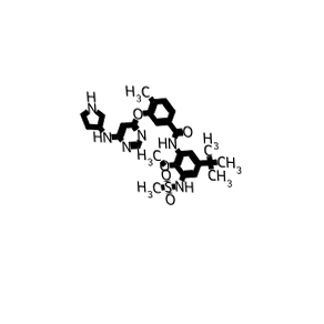 COc1c(NC(=O)c2ccc(C)c(Oc3cc(NC4CCNC4)ncn3)c2)cc(C(C)(C)C)cc1NS(C)(=O)=O